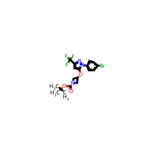 CC(C)(C)OC(=O)N1CC(Oc2cc(C(F)(F)F)nn2-c2ccc(Br)cc2)C1